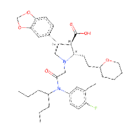 CCCC(CCC)N(C(=O)CN1C[C@H](c2ccc3c(c2)OCO3)[C@@H](C(=O)O)[C@@H]1CCC1CCCCO1)c1ccc(F)c(C)c1